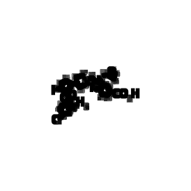 CC1(c2ccc(Cl)cc2F)Oc2c(F)ccc(C3CCN(Cc4nc5ccc(C(=O)O)cc5n4C[C@@H]4CCO4)CC3)c2O1